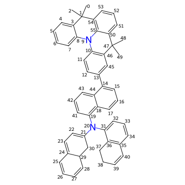 CC1(C)c2ccccc2N2c3ccc(-c4cccc5c(N(C6=CC=C7C=CC=CC7C6)c6cccc7c6CCC=C7)cccc45)cc3C(C)(C)c3cccc1c32